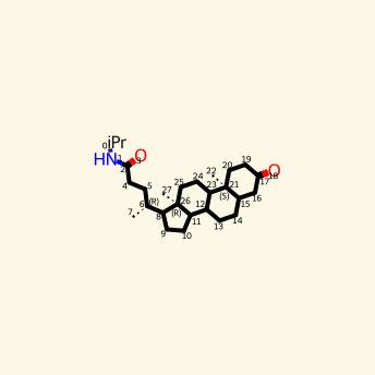 CC(C)NC(=O)CC[C@@H](C)C1CCC2C3CCC4CC(=O)CC[C@]4(C)C3CC[C@@]21C